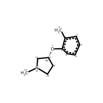 Cc1ccccc1O[C@@H]1CCN(C)C1